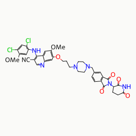 COc1cc(Nc2c(C#N)cnc3cc(OCCCN4CCN(Cc5ccc6c(c5)C(=O)N(C5CCC(=O)NC5=O)C6=O)CC4)c(OC)cc23)c(Cl)cc1Cl